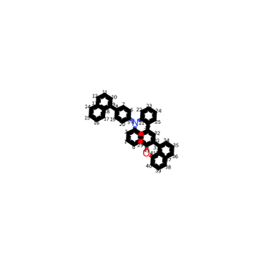 c1ccc(N(c2ccc(-c3cccc4ccccc34)cc2)c2ccccc2-c2ccc3c(c2)-c2cccc4cccc(c24)O3)cc1